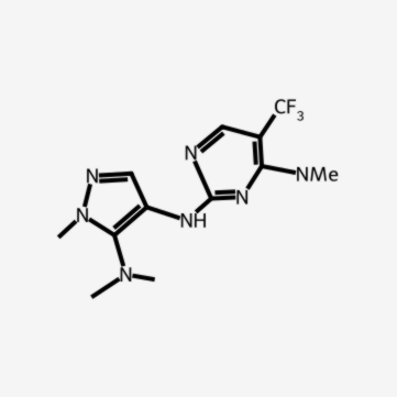 CNc1nc(Nc2cnn(C)c2N(C)C)ncc1C(F)(F)F